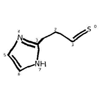 S=CCc1ncc[nH]1